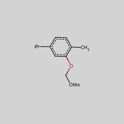 COCOc1cc(C(C)C)ccc1C